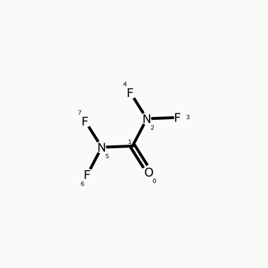 O=C(N(F)F)N(F)F